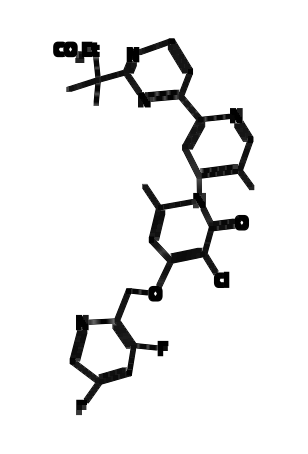 CCOC(=O)C(C)(C)c1nccc(-c2cc(-n3c(C)cc(OCc4ncc(F)cc4F)c(Cl)c3=O)c(C)cn2)n1